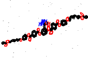 C=CC(=O)OCCCCCCOc1ccc(OC(=O)C2CCC(C(=O)Oc3ccc(OC(=O)C4CCC(C(=O)Oc5ccc(OCCCCCCOC(=O)C=C)cc5)CC4)c(C(O)NN)c3)CC2)cc1